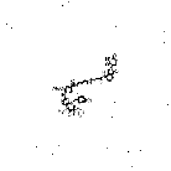 COc1cc(C(=O)NCCCNCCCC(=O)Nc2cccc3c2CN(C2CCC(=O)NC2=O)C3=O)ccc1Nc1ncc2c(n1)N(Cc1ccc(Br)cc1)CC(C)(C)C(=O)N2C